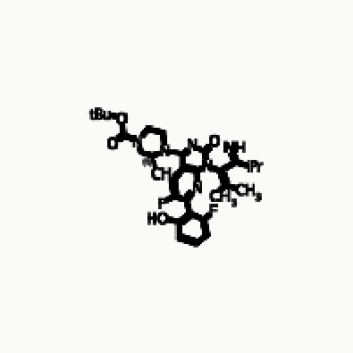 CC(C)=C(C(=N)C(C)C)n1c(=O)nc(N2CCN(C(=O)OC(C)(C)C)C[C@@H]2C)c2cc(F)c(-c3c(O)cccc3F)nc21